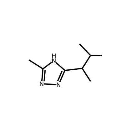 Cc1nnc(C(C)C(C)C)[nH]1